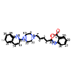 O=c1oc(CCCCN2CCN(c3ccc4ccccc4n3)CC2)nc2ccccc12